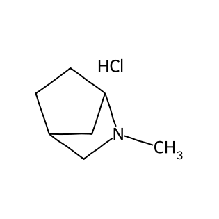 CN1CC2CCC1C2.Cl